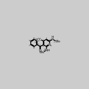 Cc1cc(NC(C)(C)C)nc(NC(C)(C)C)c1C(=O)c1ccccc1